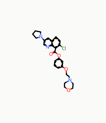 O=C(Oc1cccc(OCCN2CCOCC2)c1)c1c(Cl)ccc2cc(N3CCCC3)cnc12